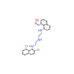 O/N=C\c1cccc2cccc(NCCNCCNc3c(Cl)ccc4cccc(Cl)c34)c12